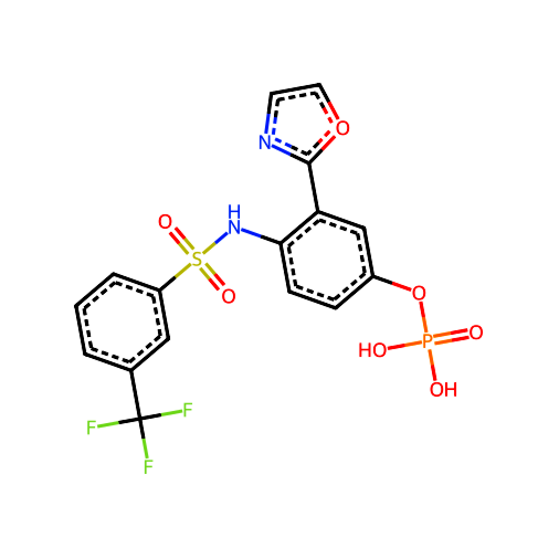 O=P(O)(O)Oc1ccc(NS(=O)(=O)c2cccc(C(F)(F)F)c2)c(-c2ncco2)c1